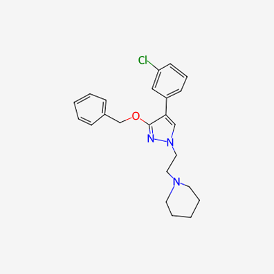 Clc1cccc(-c2cn(CCN3CCCCC3)nc2OCc2ccccc2)c1